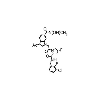 CC(=O)c1cn(CC(=O)N2C[C@H](F)C[C@H]2C(=O)NCc2cccc(Cl)c2F)c2cc(C(=O)N(C)O)ccc12